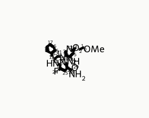 COCCOc1cc(Nc2nc(N[C@H](Cc3ccccc3)[C@H](C)N)c(F)cc2C(N)=O)ccn1